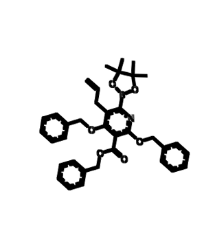 C=CCc1c(B2OC(C)(C)C(C)(C)O2)nc(OCc2ccccc2)c(C(=O)OCc2ccccc2)c1OCc1ccccc1